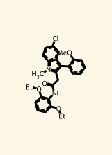 CCOc1cccc(OCC)c1NC(=O)Cc1c(-c2ccccc2OC)c2cc(Cl)ccc2n1C